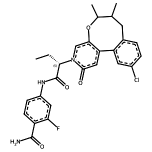 CC[C@@H](C(=O)Nc1ccc(C(N)=O)c(F)c1)n1cc2c(cc1=O)-c1cc(Cl)ccc1CC(C)C(C)O2